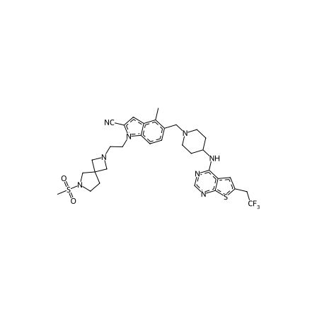 Cc1c(CN2CCC(Nc3ncnc4sc(CC(F)(F)F)cc34)CC2)ccc2c1cc(C#N)n2CCN1CC2(CCN(S(C)(=O)=O)C2)C1